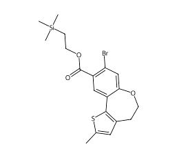 Cc1cc2c(s1)-c1cc(C(=O)OCC[Si](C)(C)C)c(Br)cc1OCC2